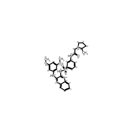 COc1cc(Nc2nc3ccccc3nc2NS(=O)(=O)c2cccc(NC(=O)CN3CCCC3C)c2)cc(OC)c1